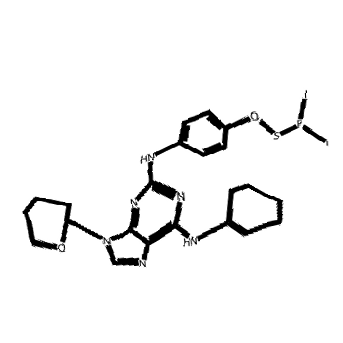 IP(I)SOc1ccc(Nc2nc(NC3CCCCC3)c3ncn(C4CCCCO4)c3n2)cc1